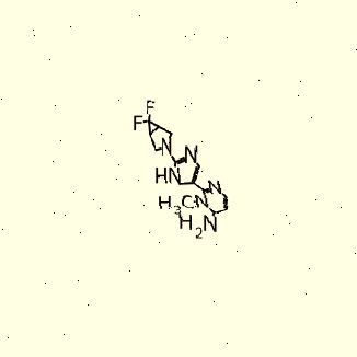 CN1C(C2=CN=C(N3CC4C(C3)C4(F)F)NC2)=NC=CC1N